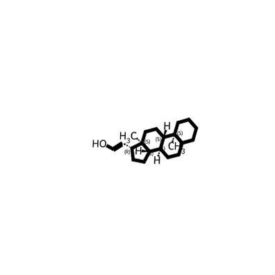 C[C@]12CC[C@H]3[C@@H](CCC4CCCC[C@@]43C)[C@@H]1CC[C@@H]2C=CO